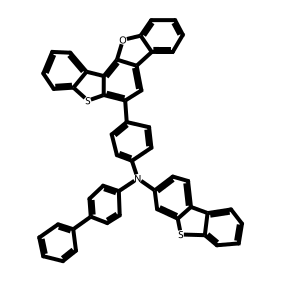 c1ccc(-c2ccc(N(c3ccc(-c4cc5c6ccccc6oc5c5c4sc4ccccc45)cc3)c3ccc4c(c3)sc3ccccc34)cc2)cc1